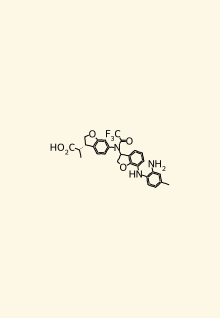 Cc1ccc(Nc2cccc3c2OCC3N(C(=O)C(F)(F)F)c2ccc3c(c2)OC[C@H]3C(C)C(=O)O)c(N)c1